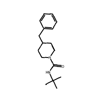 CC(C)(C)NC(=O)N1CCC(Cc2ccccc2)CC1